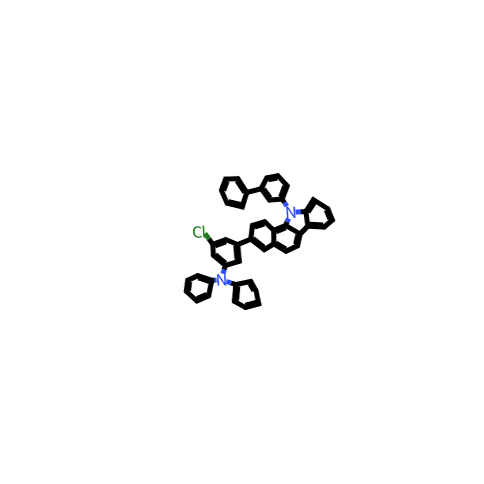 Clc1cc(-c2ccc3c(ccc4c5ccccc5n(-c5cccc(-c6ccccc6)c5)c34)c2)cc(N(c2ccccc2)c2ccccc2)c1